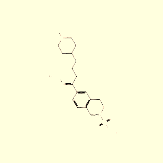 CON=C(CCCC1CCN(C(=O)O)CC1)c1ccc2c(c1)CCN(S(C)(=O)=O)C2